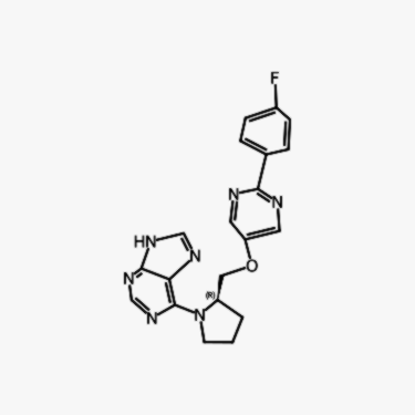 Fc1ccc(-c2ncc(OC[C@H]3CCCN3c3ncnc4[nH]cnc34)cn2)cc1